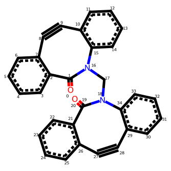 O=C1c2ccccc2C#Cc2ccccc2N1CN1C(=O)c2ccccc2C#Cc2ccccc21